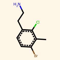 Cc1c(Br)ccc(CCN)c1Cl